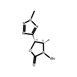 C[C@H]1[C@@H](c2nnn(C)n2)OC(=O)N1C(C)(C)C